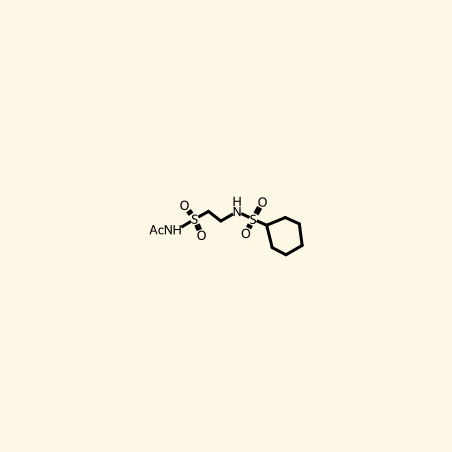 CC(=O)NS(=O)(=O)CCNS(=O)(=O)C1CCCCC1